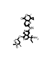 CCC(C)(N)c1cnc(O[C@H](C)C[C@@H](C)S(C)(=O)=O)c2cnc(Nc3ccc4c(n3)C3(CC3)[C@@H](C)OC4=O)cc12